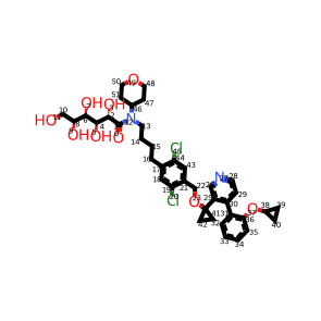 O=C([C@@H](O)[C@@H](O)[C@H](O)[C@@H](O)CO)N(CCCCc1cc(Cl)c(COC2(c3cnccc3-c3ccccc3OC3CC3)CC2)cc1Cl)C1CCOCC1